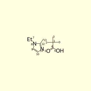 CC(C)(C)C(=O)O.CCn1ccnc1C